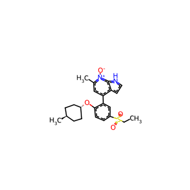 CCS(=O)(=O)c1ccc(O[C@H]2CC[C@H](C)CC2)c(-c2cc(C)[n+]([O-])c3[nH]ccc23)c1